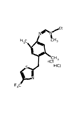 CCN(C)/C=N\c1cc(C)c(Cc2nc(C(F)(F)F)cs2)cc1C.Cl.Cl